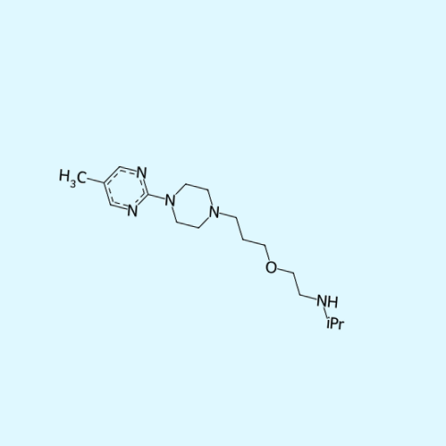 Cc1cnc(N2CCN(CCCOCCNC(C)C)CC2)nc1